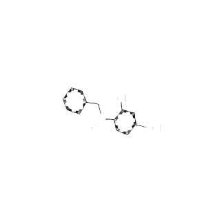 Cc1cc(O)ccc1[S+](C)Cc1ccccc1